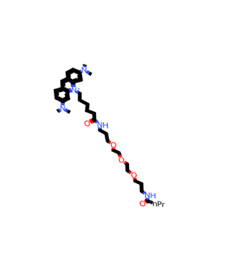 CCCC(=O)NCCCOCCOCCOCCCNC(=O)CCCCC[n+]1c2cc(N(C)C)ccc2cc2ccc(N(C)C)cc21